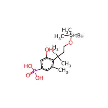 Cc1cc(P(=O)(O)O)cc(O)c1C(C)(C)CCO[Si](C)(C)C(C)(C)C